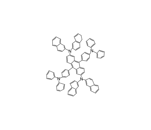 C1=Cc2cc(N(c3ccc4ccccc4c3)c3ccc4c(-c5ccc(N(c6ccccc6)c6ccccc6)cc5)c5cc(N(c6ccc7ccccc7c6)c6ccc7ccccc7c6)ccc5c(-c5ccc(N(c6ccccc6)c6ccccc6)cc5)c4c3)ccc2CC1